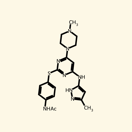 CC(=O)Nc1ccc(Sc2nc(Nc3cc(C)n[nH]3)cc(N3CCN(C)CC3)n2)cc1